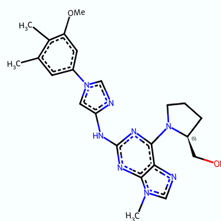 COc1cc(-n2cnc(Nc3nc(N4CCC[C@H]4CO)c4ncn(C)c4n3)c2)cc(C)c1C